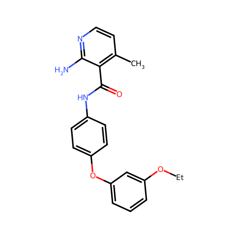 CCOc1cccc(Oc2ccc(NC(=O)c3c(C)ccnc3N)cc2)c1